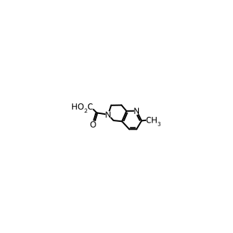 Cc1ccc2c(n1)CCN(C(=O)C(=O)O)C2